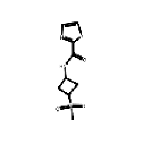 CS(=O)(=O)C1CC(NC(=O)c2nccs2)C1